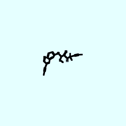 CC#Cc1cnc2ccc(OC(SC)C(=O)NC(C)(C)C#CC)cc2c1